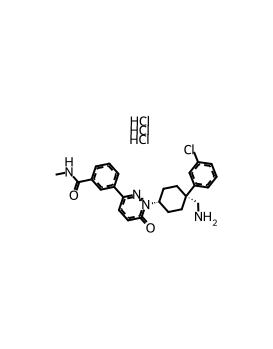 CNC(=O)c1cccc(-c2ccc(=O)n([C@H]3CC[C@](CN)(c4cccc(Cl)c4)CC3)n2)c1.Cl.Cl.Cl